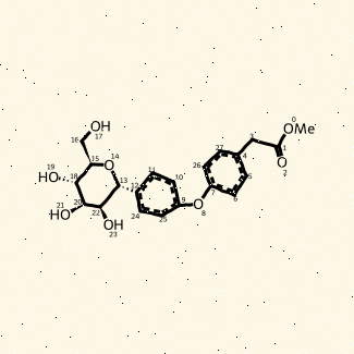 COC(=O)Cc1ccc(Oc2ccc([C@H]3O[C@H](CO)[C@@H](O)[C@H](O)[C@@H]3O)cc2)cc1